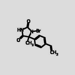 C=Cc1ccc(C2(C)C(=O)NC(=O)N2Br)cc1